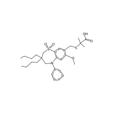 CCCCC1(CCCC)CN(c2ccccc2)c2cc(OC)c(CSC(C)(C)C(=O)O)cc2S(=O)(=O)C1